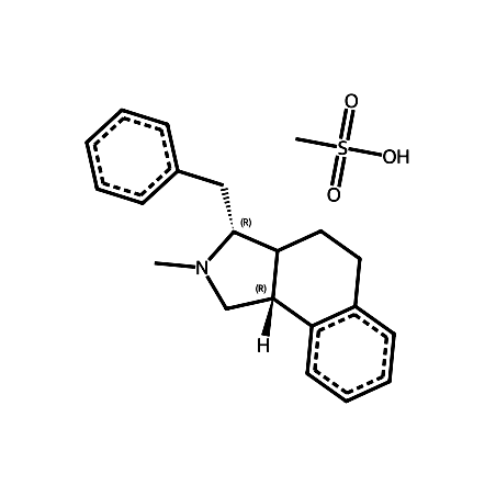 CN1C[C@H]2c3ccccc3CCC2[C@H]1Cc1ccccc1.CS(=O)(=O)O